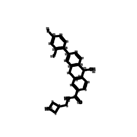 O=C(NCC1CNC1)c1ccc2c(c1)Cc1cc(-c3ccc(F)cc3F)ccc1C2O